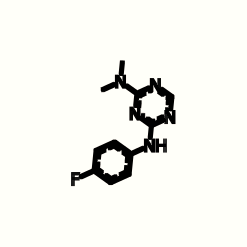 CN(C)c1ncnc(Nc2ccc(F)cc2)n1